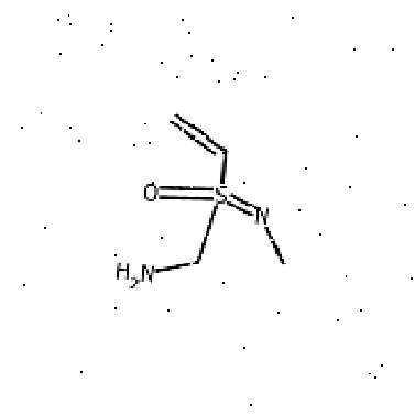 C=CS(=O)(CN)=NC